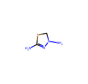 NC1=NN(N)CS1